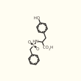 O=C(O)C(Cc1ccc(O)cc1)NS(=O)(=O)Cc1ccccc1